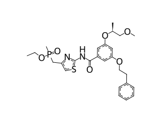 CCOP(C)(=O)Cc1csc(NC(=O)c2cc(OCCc3ccccc3)cc(O[C@@H](C)COC)c2)n1